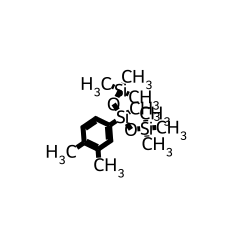 Cc1ccc([Si](C)(O[Si](C)(C)C)O[Si](C)(C)C)cc1C